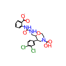 COC(=O)c1ccccc1NC(=O)NCC1OCCN(C(=O)O)CC1c1ccc(Cl)c(Cl)c1